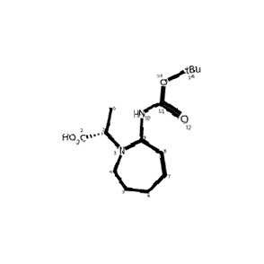 C[C@@H](C(=O)O)N1CCCCCC1NC(=O)OC(C)(C)C